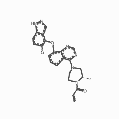 C=CC(=O)N1CCN(c2ncnc3c(Oc4c(Cl)ccc5[nH]ncc45)cccc23)C[C@@H]1C